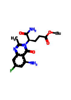 Cc1nc2cc(F)cc(N)c2c(=O)n1[C@H](CCC(=O)OC(C)(C)C)C(N)=O